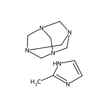 C1N2CN3CN1CN(C2)C3.Cc1ncc[nH]1